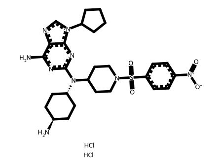 Cl.Cl.Nc1nc(N(C2CCN(S(=O)(=O)c3ccc([N+](=O)[O-])cc3)CC2)[C@H]2CC[C@H](N)CC2)nc2c1ncn2C1CCCC1